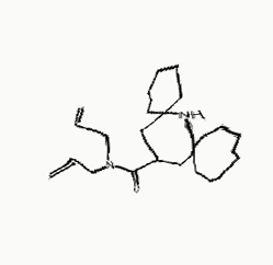 C=CCN(CC=C)C(=O)C1CC2(CCCCC2)NC2(CCCCC2)C1